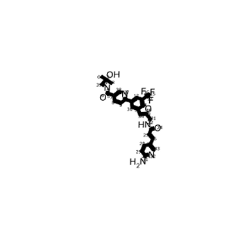 CC1(O)CN(C(=O)c2ccc(-c3cc(C(F)(F)F)c4oc(CNC(=O)C=Cc5ccc(N)nc5)cc4c3)nc2)C1